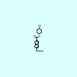 CCCCCc1cc2cc(C(=O)O[C@H]3CC[C@H](CC)CC3)sc2s1